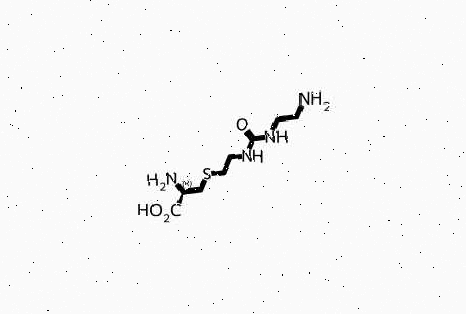 NCCNC(=O)NCCSC[C@H](N)C(=O)O